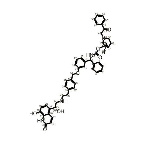 O=C(NC(c1ccccc1)c1cccc(OCc2ccc(CCNC[C@H](O)c3ccc(O)c4[nH]c(=O)ccc34)cc2)c1)O[C@@H]1C[N+]2(CC(=O)c3ccccc3)CCC1CC2